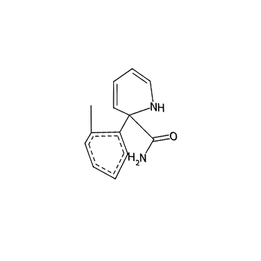 Cc1ccccc1C1(C(N)=O)C=CC=CN1